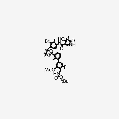 COc1cc(-c2cccc(B3OC(C)(C)C(C)(Cc4ccc(NC(=O)c5c[nH]c(=O)n(C)c5=O)c(C)c4Br)O3)c2C)cc(F)c1CNC(=O)OC(C)(C)C